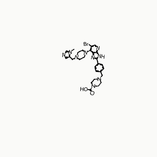 Cn1cncc1CN1CCN(c2c(Br)cnc3[nH]c(-c4ccc(CN5CCN(C(=O)O)CC5)cc4)nc23)CC1